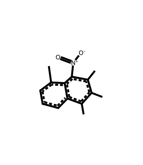 Cc1c(C)c([N+](=O)[O-])c2c(C)cccc2c1C